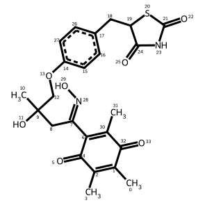 CC1=C(C)C(=O)C(C(CC(C)(O)COc2ccc(CC3SC(=O)NC3=O)cc2)=NO)=C(C)C1=O